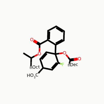 CCCCCCCCCCC(=O)OC1(c2ccccc2C(=O)OC(C)CCCCCCCC)C=CC(C(=O)O)C=C1F